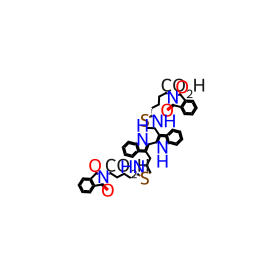 O=C(O)[C@H](CCC[C@@H]1NC(Cc2c(-c3[nH]c4ccccc4c3C3CS[C@H](CCC[C@@H](C(=O)O)N4C(=O)c5ccccc5C4=O)N3)[nH]c3ccccc23)CS1)N1C(=O)c2ccccc2C1=O